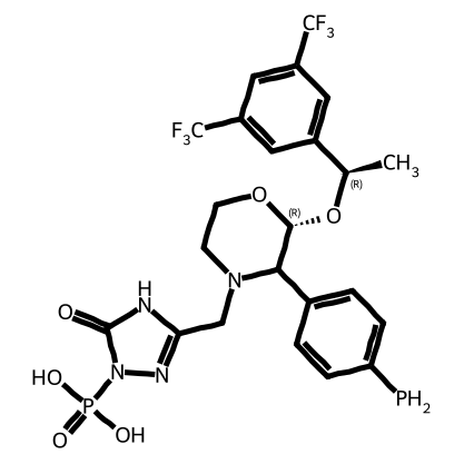 C[C@@H](O[C@H]1OCCN(Cc2nn(P(=O)(O)O)c(=O)[nH]2)C1c1ccc(P)cc1)c1cc(C(F)(F)F)cc(C(F)(F)F)c1